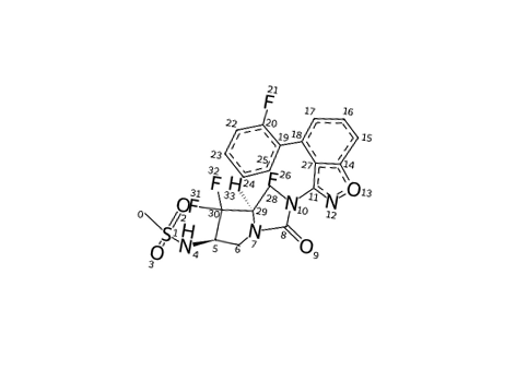 CS(=O)(=O)N[C@@H]1CN2C(=O)N(c3noc4cccc(-c5c(F)cccc5F)c34)C[C@@H]2C1(F)F